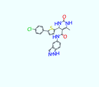 CC1=C(C(=O)Nc2ccc3[nH]ncc3c2)C(c2ccc(-c3ccc(Cl)cc3)s2)NC(=O)N1